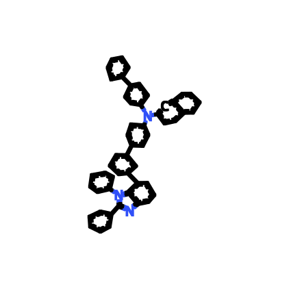 c1ccc(-c2ccc(N(c3ccc(-c4cccc(-c5cccc6nc(-c7ccccc7)n(-c7ccccc7)c56)c4)cc3)c3ccc4ccccc4c3)cc2)cc1